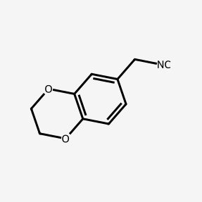 [C-]#[N+]Cc1ccc2c(c1)OCCO2